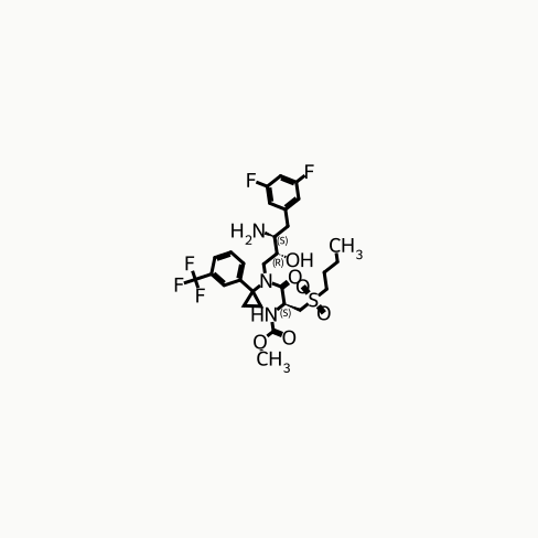 CCCCS(=O)(=O)C[C@@H](NC(=O)OC)C(=O)N(C[C@@H](O)[C@@H](N)Cc1cc(F)cc(F)c1)C1(c2cccc(C(F)(F)F)c2)CC1